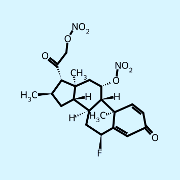 C[C@@H]1C[C@H]2[C@@H]3C[C@H](F)C4=CC(=O)C=C[C@]4(C)[C@H]3[C@@H](O[N+](=O)[O-])C[C@]2(C)[C@H]1C(=O)CO[N+](=O)[O-]